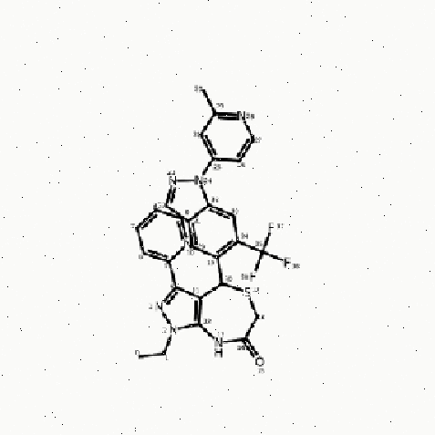 CCn1nc(-c2ccccn2)c2c1NC(=O)CSC2c1cc2cnn(-c3ccnc(C)c3)c2cc1C(F)(F)F